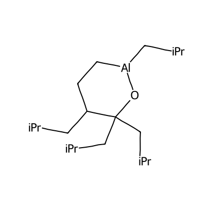 CC(C)CC1C[CH2][Al]([CH2]C(C)C)[O]C1(CC(C)C)CC(C)C